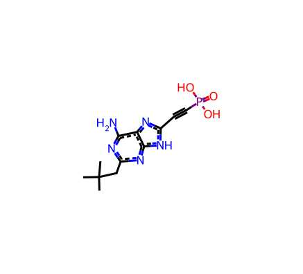 CC(C)(C)Cc1nc(N)c2nc(C#CP(=O)(O)O)[nH]c2n1